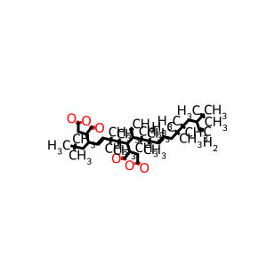 C=CC(CC(C)(C)C(C)(C)C/C=C/C(C)(C)C(C)(C)C(C=C)C(C1CC(=O)OC1=O)C(C)(C)C(C)(C)/C=C/C(CC(C)(C)C)C1CC(=O)OC1=O)C(C)(C)C